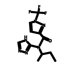 CCC(C)N(C(=O)c1ccn(C(F)(F)F)n1)c1nnc[nH]1